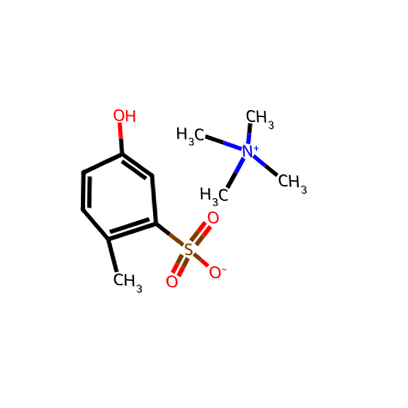 C[N+](C)(C)C.Cc1ccc(O)cc1S(=O)(=O)[O-]